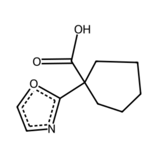 O=C(O)C1(c2ncco2)CCCCC1